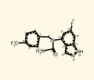 NC(=O)N(Cc1ccc(C(F)(F)F)cc1)c1cc(F)cc2[nH]ncc12